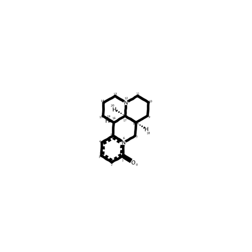 O=c1cccc2n1C[C@@H]1CCCN3CCC[C@H]2[C@H]13